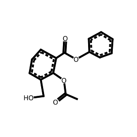 CC(=O)Oc1c(CO)cccc1C(=O)Oc1ccccc1